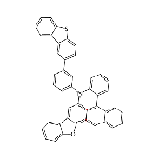 c1cc(-c2ccc3sc4ccccc4c3c2)cc(N(c2ccc3oc4ccccc4c3c2)c2ccccc2-c2cccc3ccccc23)c1